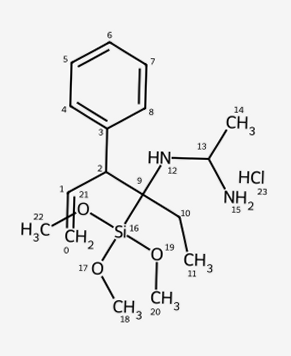 C=CC(c1ccccc1)C(CC)(NC(C)N)[Si](OC)(OC)OC.Cl